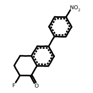 O=C1c2ccc(-c3ccc([N+](=O)[O-])cc3)cc2CCC1F